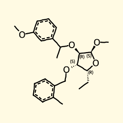 CC[C@H]1O[C@H](OC)[C@H](OC(C)c2cccc(OC)c2)[C@H]1OCc1ccccc1C